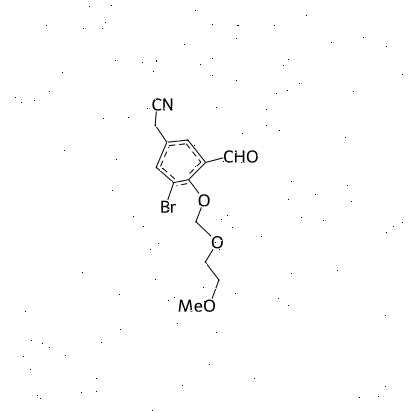 COCCOCOc1c(Br)cc(CC#N)cc1C=O